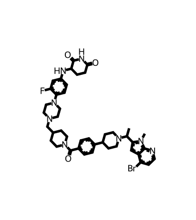 CC(c1cc2c(Br)ccnc2n1C)N1CCC(c2ccc(C(=O)N3CCC(CN4CCN(c5ccc(NC6CCC(=O)NC6=O)cc5F)CC4)CC3)cc2)CC1